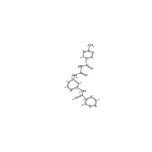 Cc1ccc(C(=O)NC(=O)Nc2cccc(NC(=O)c3ccccc3)c2)cc1